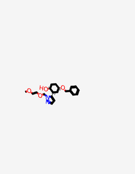 COCCOCn1nccc1[C@H]1C[C@@H](OCc2ccccc2)CC[C@@H]1O